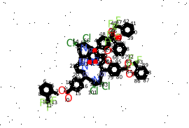 O=C(OCc1ccccc1C(F)(F)F)c1ccc(/C2=c3\cc/c4n3Nn3c(ccc3/C(c3ccc(C(=O)Oc5ccccc5C(F)(F)F)cc3)=C3N=C(C(Cl)=C\3Cl)/C=4c3ccc(C(=O)Oc4ccccc4C(F)(F)F)cc3)/C(c3ccc(C(=O)Oc4ccccc4C(F)(F)F)cc3)=C3N=C2C(Cl)=C\3Cl)cc1